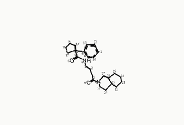 O=C(CCNC(=O)C1(c2ccccc2)CCCC1)N1CCC2CCCCC2C1